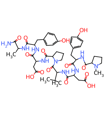 CC(NC(=O)C(Cc1ccc(O)cc1)NC(=O)C(CC(=O)O)NC(=O)C1CCCN1C(=O)C(NC(=O)C(CC(=O)O)NC(=O)C(Cc1ccc(O)cc1)NC(=O)C1CCCN1C)C(C)C)C(N)=O